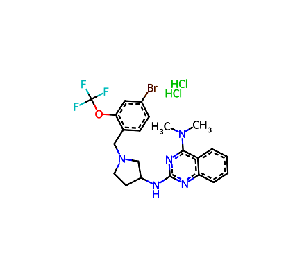 CN(C)c1nc(NC2CCN(Cc3ccc(Br)cc3OC(F)(F)F)C2)nc2ccccc12.Cl.Cl